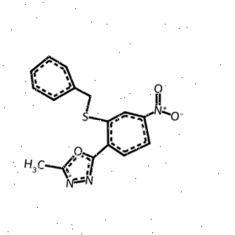 Cc1nnc(-c2ccc([N+](=O)[O-])cc2SCc2ccccc2)o1